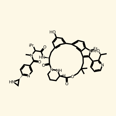 CCn1c(-c2cccnc2[C@H](C)OC)c2c3cc(ccc31)-c1cc(O)cc(c1)C[C@H](NC(=O)C(C(C)C)N(C)C(=O)c1ccc([C@@H]3CN3)nc1)C(=O)N1CCC[C@H](N1)C(=O)OCC(C)(C)C2